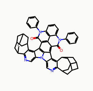 O=c1c2c3c(c(=O)n(-c4ccccc4)c4cccc(c34)n1-c1ccccc1)c1c3c4c(ncc3n3c5cnc6c(c5c2c13)C1CC2CC(CC6C2)C1)C1CC2CC3CC4CC23C1